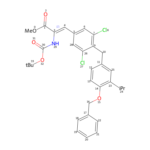 COC(=O)/C(=C/c1cc(Cl)c(Cc2ccc(OCc3ccccc3)c(C(C)C)c2)c(Cl)c1)NC(=O)OC(C)(C)C